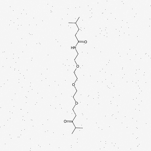 CC(C)CCC(=O)NCCOCCOCCOCCC(=O)C(C)C